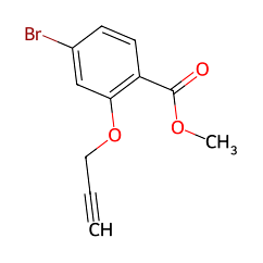 C#CCOc1cc(Br)ccc1C(=O)OC